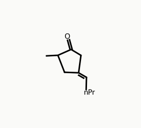 CCCC=C1CC(=O)C(C)C1